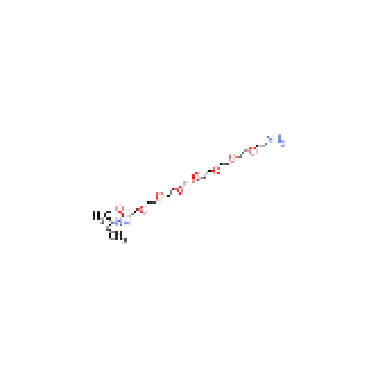 C=CC(=C)NC(=O)CCOCCOCCOCCOCCOCCOCCOCCN